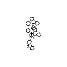 c1ccc(-c2nc(-c3ccc4sc5ccccc5c4c3)nc(-c3ccccc3-c3cccc(-c4cccc5c4C4(c6ccccc6-c6ccccc64)c4ccccc4-5)c3)n2)cc1